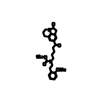 COc1ccccc1CCN(CCCCC(=O)c1cc2c3c(c1)CC(=O)N3CCC2)C(=O)OC(C)(C)C